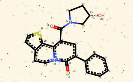 O=C(c1cc(-c2ccccc2)c(=O)n2ccc3ccsc3c12)N1CC[C@H](O)C1